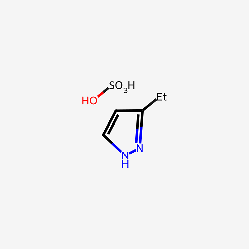 CCc1cc[nH]n1.O=S(=O)(O)O